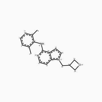 Cc1ccnc(C)c1Nc1nccc2c1ccn2CC1COC1